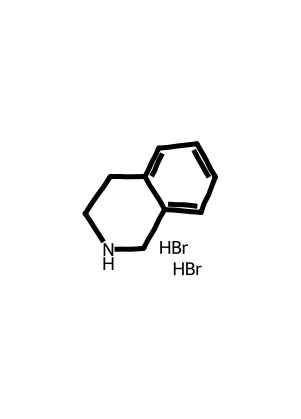 Br.Br.c1ccc2c(c1)CCNC2